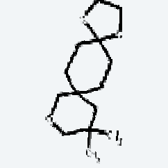 CC1(C)COCC2(CCC3(CC2)OCCO3)C1